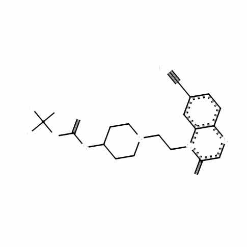 C#Cc1ccc2ncc(=O)n(CCN3CCC(NC(=O)OC(C)(C)C)CC3)c2c1